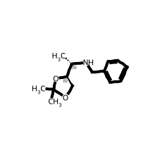 C[C@H](NCc1ccccc1)[C@H]1COC(C)(C)O1